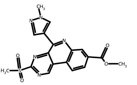 COC(=O)c1ccc2c(c1)nc(-c1cnn(C)c1)c1nc(S(C)(=O)=O)ncc12